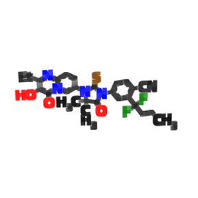 C/C=C/C(F)(F)c1cc(N2C(=O)C(C)(C)N(c3ccc4nc(CC)c(O)c(=O)n4c3)C2=S)ccc1C#N